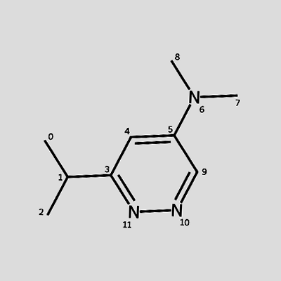 CC(C)c1cc(N(C)C)cnn1